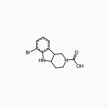 O=C(O)N1CCC2Nc3c(Br)cccc3C2C1